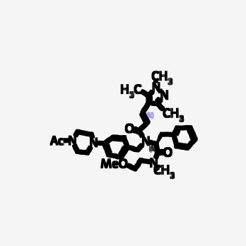 COCCN(C)C(=O)[C@H](Cc1ccccc1)N(Cc1ccc(N2CCN(C(C)=O)CC2)cc1)C(=O)/C=C/c1c(C)nn(C)c1C